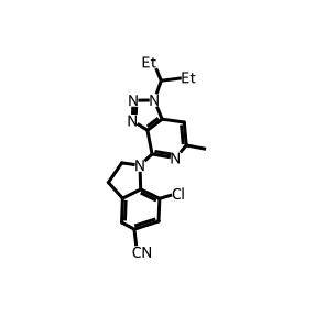 CCC(CC)n1nnc2c(N3CCc4cc(C#N)cc(Cl)c43)nc(C)cc21